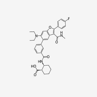 CCN(CC)c1cc2oc(-c3ccc(F)cc3)c(C(=O)NC)c2cc1-c1cccc(C(=O)N[C@H]2CCCC[C@H]2C(=O)O)c1